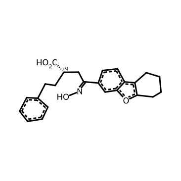 O=C(O)[C@@H](CCc1ccccc1)CC(=NO)c1ccc2c3c(oc2c1)CCCC3